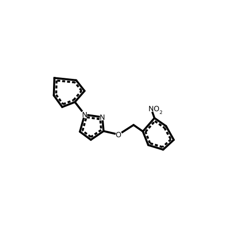 O=[N+]([O-])c1ccccc1COc1ccn(-c2ccccc2)n1